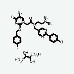 CCc1cn(CC(=O)N(CCN(CC)CC)Cc2cnc(-c3ccc(Cl)cc3)nc2)c(SCc2ccc(F)cc2)nc1=O.O=C(O)C(O)C(O)C(=O)O